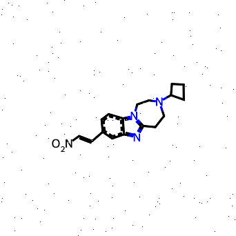 O=[N+]([O-])C=Cc1ccc2c(c1)nc1n2CCN(C2CCC2)CC1